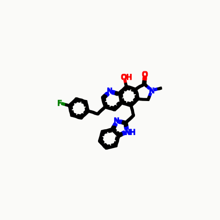 CN1Cc2c(c(O)c3ncc(Cc4ccc(F)cc4)cc3c2Cc2nc3ccccc3[nH]2)C1=O